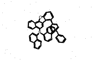 c1ccc(-c2ccc(-c3cccc4oc5c6ccccc6c(N(c6cccc7ccccc67)c6cccc7ccccc67)cc5c34)cc2)cc1